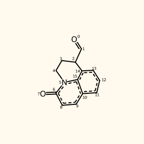 O=CC1CCn2c(=O)ccc3cccc1c32